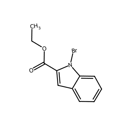 CCOC(=O)c1cc2ccccc2n1Br